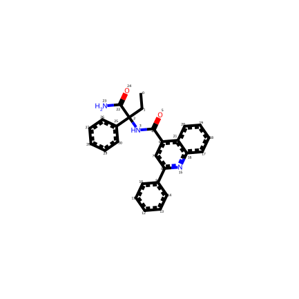 CCC(NC(=O)c1cc(-c2ccccc2)nc2ccccc12)(C(N)=O)c1ccccc1